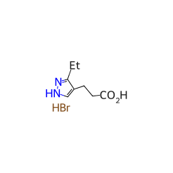 Br.CCc1n[nH]cc1CCC(=O)O